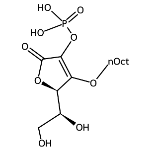 CCCCCCCCOC1=C(OP(=O)(O)O)C(=O)O[C@@H]1[C@@H](O)CO